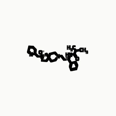 CC(C)C(=O)N[C@@H](CCN1CCC2(CC1)CC[N+]([O-])(Cc1ccccn1)C2)c1ccccc1